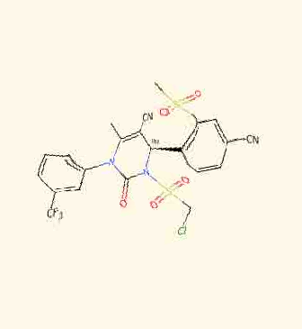 CC1=C(C#N)[C@@H](c2ccc(C#N)cc2S(C)(=O)=O)N(S(=O)(=O)CCl)C(=O)N1c1cccc(C(F)(F)F)c1